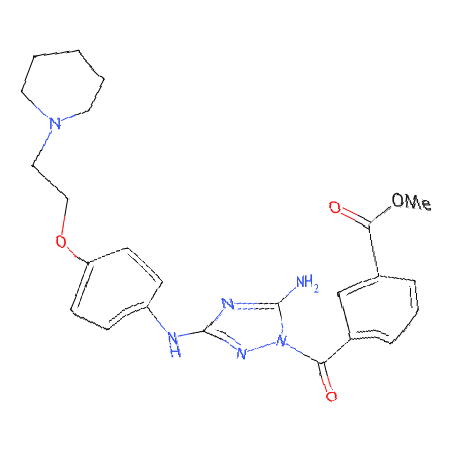 COC(=O)c1cccc(C(=O)n2nc(Nc3ccc(OCCN4CCCCC4)cc3)nc2N)c1